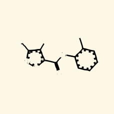 Cc1ccccc1NC(=O)c1snc(Cl)c1Cl